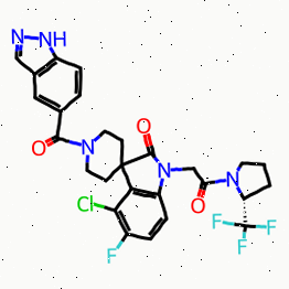 O=C(c1ccc2[nH]ncc2c1)N1CCC2(CC1)C(=O)N(CC(=O)N1CCC[C@@H]1C(F)(F)F)c1ccc(F)c(Cl)c12